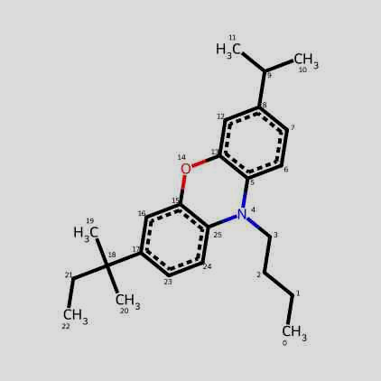 CCCCN1c2ccc(C(C)C)cc2Oc2cc(C(C)(C)CC)ccc21